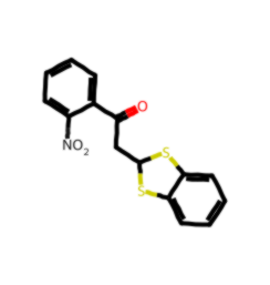 O=C(CC1Sc2ccccc2S1)c1ccccc1[N+](=O)[O-]